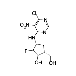 O=[N+]([O-])c1c(Cl)ncnc1N[C@@H]1C[C@H](CO)C(O)C1F